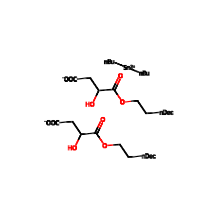 CCCCCCCCCCCCOC(=O)C(O)CC(=O)[O-].CCCCCCCCCCCCOC(=O)C(O)CC(=O)[O-].CCC[CH2][Sn+2][CH2]CCC